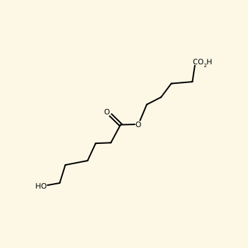 O=C(O)CCCCOC(=O)CCCCCO